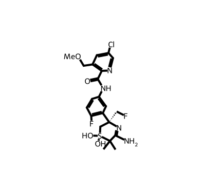 COCc1cc(Cl)cnc1C(=O)Nc1ccc(F)c([C@]2(CF)CS(O)(O)C(C)(C)C(N)=N2)c1